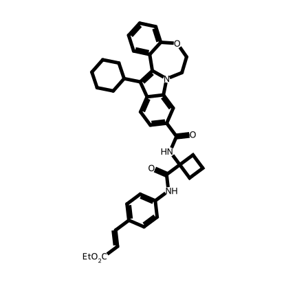 CCOC(=O)/C=C/c1ccc(NC(=O)C2(NC(=O)c3ccc4c(C5CCCCC5)c5n(c4c3)CCOc3ccccc3-5)CCC2)cc1